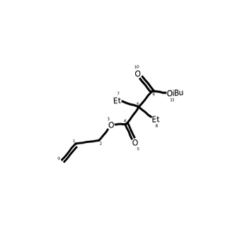 C=CCOC(=O)C(CC)(CC)C(=O)OCC(C)C